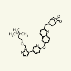 C[Si](C)(C)CCOCn1nccc1-c1ccc(Oc2ccc3nc(CN4CC5CC4CS5(=O)=O)ccc3c2)nc1